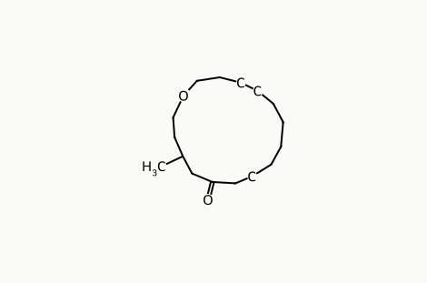 CC1CCOCCCCCCCCCCC(=O)C1